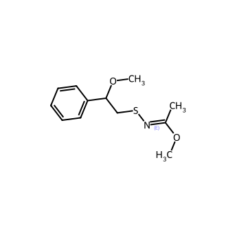 CO/C(C)=N/SCC(OC)c1ccccc1